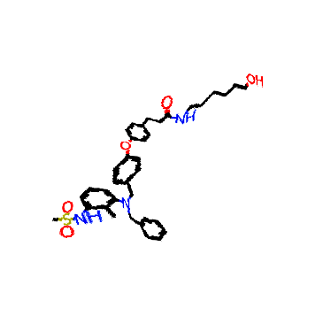 Cc1c(NS(C)(=O)=O)cccc1N(Cc1ccccc1)Cc1ccc(Oc2ccc(CCC(=O)NCCCCCCO)cc2)cc1